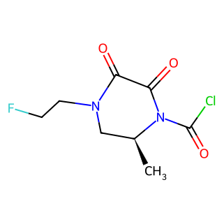 C[C@H]1CN(CCF)C(=O)C(=O)N1C(=O)Cl